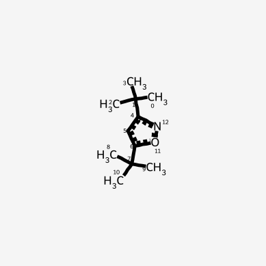 CC(C)(C)c1cc(C(C)(C)C)on1